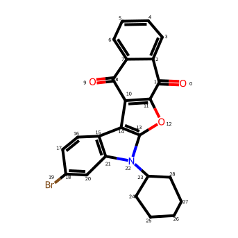 O=C1c2ccccc2C(=O)c2c1oc1c2c2ccc(Br)cc2n1C1CCCCC1